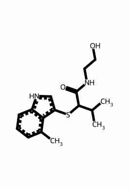 Cc1cccc2[nH]cc(SC(C(=O)NCCO)C(C)C)c12